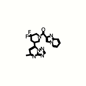 Cc1cc(C2CN(C(=O)c3cn4ccccc4n3)CC(F)(F)C2)n2ncnc2n1